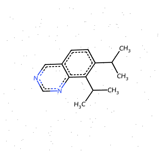 CC(C)c1ccc2cncnc2c1C(C)C